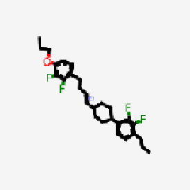 CCCOc1ccc(CC/C=C/C2CCC(c3ccc(CCC)c(F)c3F)CC2)c(F)c1F